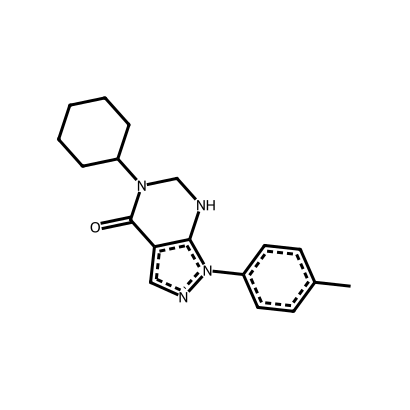 Cc1ccc(-n2ncc3c2NCN(C2CCCCC2)C3=O)cc1